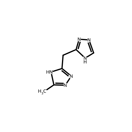 Cc1nnc(Cc2nnc[nH]2)[nH]1